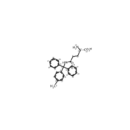 Cc1ccc(C(NC(=O)CC[C@H](N)C(=O)O)(c2ccccc2)c2ccccc2)cc1